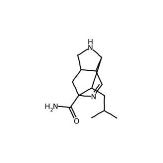 CC(C)CC1C2NCC3CC1(C(N)=O)N=CC32